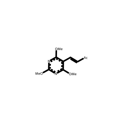 COc1nc(OC)c(C=CC(C)=O)c(OC)n1